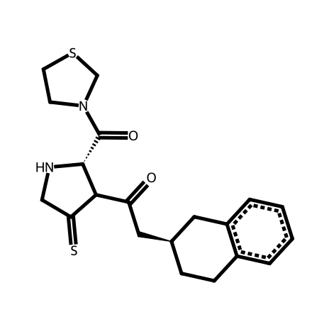 O=C(C[C@@H]1CCc2ccccc2C1)C1C(=S)CN[C@@H]1C(=O)N1CCSC1